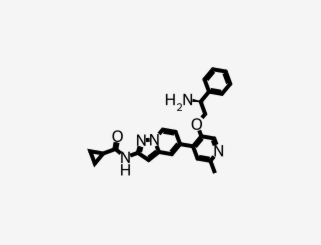 Cc1cc(-c2ccn3nc(NC(=O)C4CC4)cc3c2)c(OC[C@@H](N)c2ccccc2)cn1